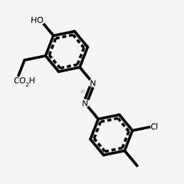 Cc1ccc(/N=N/c2ccc(O)c(CC(=O)O)c2)cc1Cl